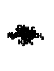 C=C[Si](C)(C)OC(C)(CC)[Si](C)(C)OC(CC)(CC)[Si](C)(C)C=C